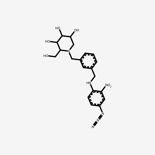 [N-]=[N+]=Nc1ccc(NCc2cccc(CN3CC(O)C(O)C(O)C3CO)c2)c([N+](=O)[O-])c1